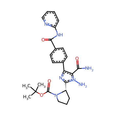 CC(C)(C)OC(=O)N1CCC[C@H]1c1nc(-c2ccc(C(=O)Nc3ccccn3)cc2)c(C(N)=O)n1N